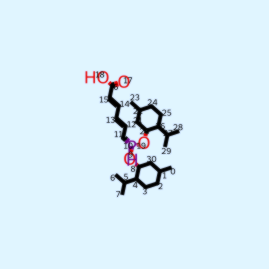 CC1CCC(C(C)C)C(O[PH](=C/C=C/C=C/C(=O)O)OC2CC(C)CCC2C(C)C)C1